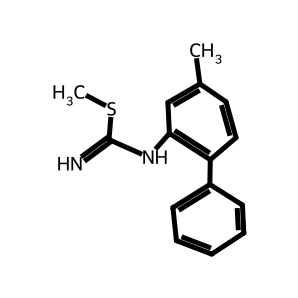 CSC(=N)Nc1cc(C)ccc1-c1ccccc1